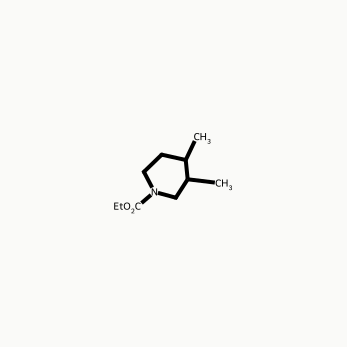 CCOC(=O)N1CCC(C)C(C)C1